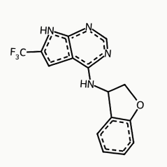 FC(F)(F)c1cc2c(NC3COc4ccccc43)ncnc2[nH]1